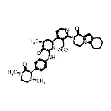 CC(=O)OCc1c(-c2cn(C)c(=O)c(Nc3ccc([C@@H]4C(=O)N(C)CCN4C)cc3)n2)ccnc1N1CCn2c(cc3c2CCCC3)C1=O